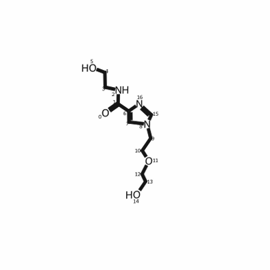 O=C(NCCO)c1cn(CCOCCO)cn1